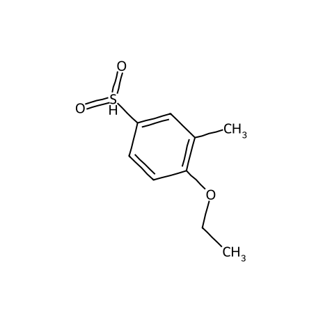 CCOc1ccc([SH](=O)=O)cc1C